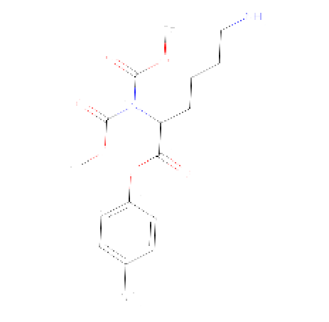 CC(C)(C)OC(=O)N(C(=O)OC(C)(C)C)C(CCCCN)C(=O)Oc1ccc([N+](=O)[O-])cc1